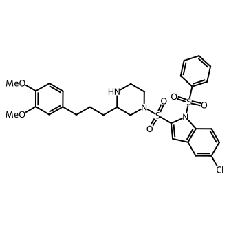 COc1ccc(CCCC2CN(S(=O)(=O)c3cc4cc(Cl)ccc4n3S(=O)(=O)c3ccccc3)CCN2)cc1OC